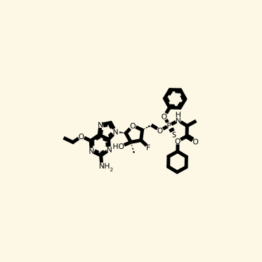 CCOc1nc(N)nc2c1ncn2[C@@H]1O[C@H](COP(=S)(NC(C)C(=O)OC2CCCCC2)Oc2ccccc2)C(F)[C@@]1(C)O